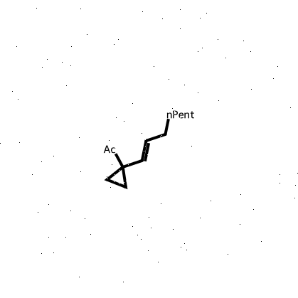 CCCCCC/C=C/C1(C(C)=O)CC1